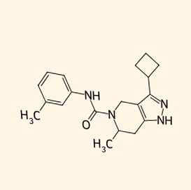 Cc1cccc(NC(=O)N2Cc3c(C4CCC4)n[nH]c3CC2C)c1